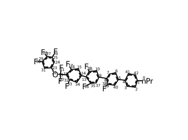 CCCc1ccc(-c2ccc(-c3cc(F)c(-c4cc(F)c(C(F)(F)Oc5cc(F)c(F)c(F)c5)c(F)c4)c(F)c3)c(F)c2)cc1